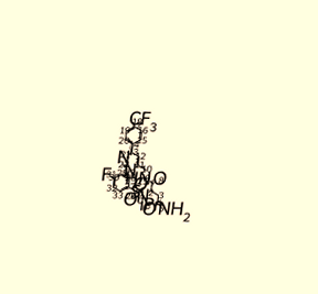 CC(C)N(C(CC(N)=O)C(=O)NCc1cc(-c2ccc(C(F)(F)F)cc2)ncn1)S(=O)(=O)c1ccc(F)cc1